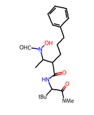 CNC(=O)C(NC(=O)C(CCCc1ccccc1)C(C)N(O)C=O)C(C)(C)C